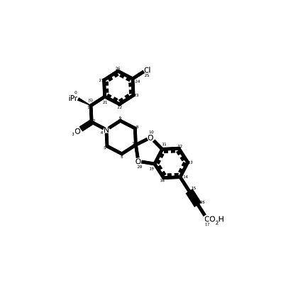 CC(C)[C@H](C(=O)N1CCC2(CC1)Oc1ccc(C#CC(=O)O)cc1O2)c1ccc(Cl)cc1